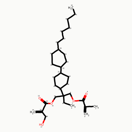 C=C(C)C(=O)OCC(CC)(COC(=O)C(=C)CO)C1CCC(C2CCC(CCCCCCC)CC2)CC1